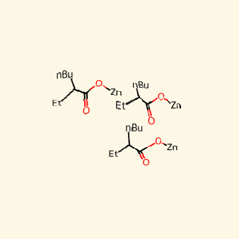 CCCCC(CC)C(=O)[O][Zn].CCCCC(CC)C(=O)[O][Zn].CCCCC(CC)C(=O)[O][Zn]